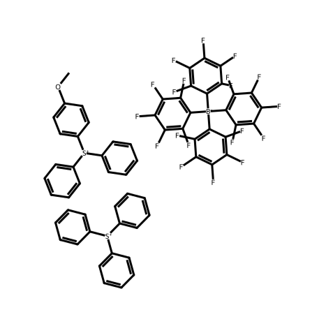 COc1ccc([S+](c2ccccc2)c2ccccc2)cc1.Fc1c(F)c(F)c([B-](c2c(F)c(F)c(F)c(F)c2F)(c2c(F)c(F)c(F)c(F)c2F)c2c(F)c(F)c(F)c(F)c2F)c(F)c1F.c1ccc([S+](c2ccccc2)c2ccccc2)cc1